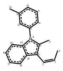 C/C=C\c1c(C)n(-c2cccc(C)c2)c2ccccc12